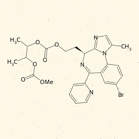 COC(=O)OC(C)C(C)OC(=O)OCC[C@@H]1N=C(c2ccccn2)c2cc(Br)ccc2-n2c(C)cnc21